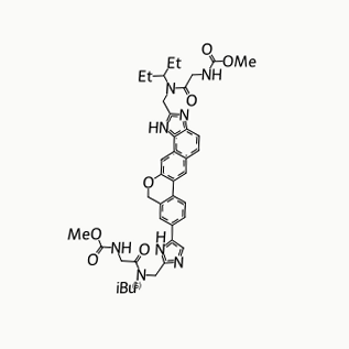 CCC(CC)N(Cc1nc2ccc3cc4c(cc3c2[nH]1)OCc1cc(-c2cnc(CN(C(=O)CNC(=O)OC)[C@@H](C)CC)[nH]2)ccc1-4)C(=O)CNC(=O)OC